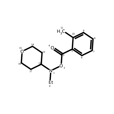 CCN(OC(=O)c1ccccc1C)C1CCOCC1